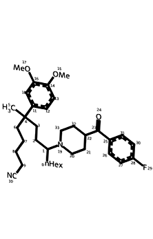 CCCCCCC(CCC(C)(CCCCC#N)c1ccc(OC)c(OC)c1)N1CCC(C(=O)c2ccc(F)cc2)CC1